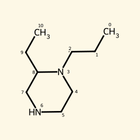 CC[CH]N1CCNCC1CC